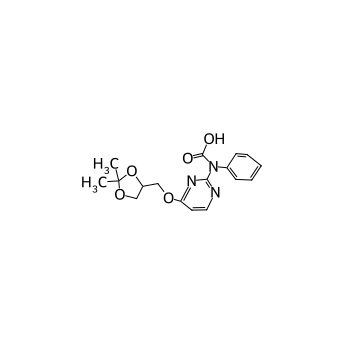 CC1(C)OCC(COc2ccnc(N(C(=O)O)c3ccccc3)n2)O1